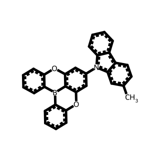 Cc1ccc2c3ccccc3n(-c3cc4c5c(c3)Oc3ccccc3B5c3ccccc3O4)c2c1